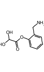 NCc1ccccc1OC(=O)C(O)O